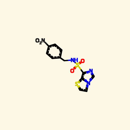 O=[N+]([O-])c1ccc(CNS(=O)(=O)c2ncn3ccsc23)cc1